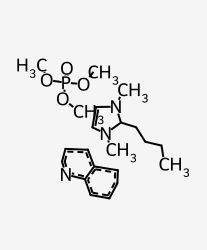 CCCCC1N(C)C=CN1C.COP(=O)(OC)OC.c1ccc2ncccc2c1